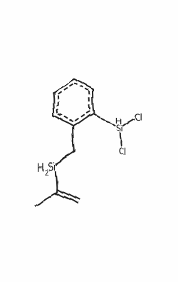 C=C(C)[SiH2]Cc1ccccc1[SiH](Cl)Cl